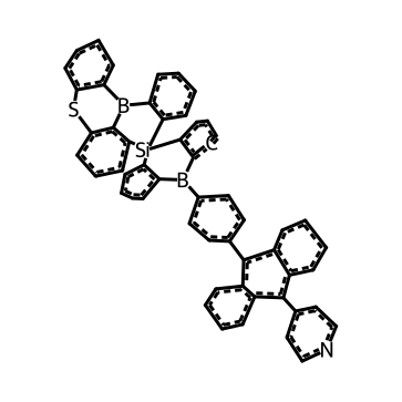 c1ccc2c(c1)Sc1cccc3c1B2c1ccccc1[Si]31c2ccccc2B(c2ccc(-c3c4ccccc4c(-c4ccncc4)c4ccccc34)cc2)c2ccccc21